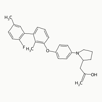 C=C(O)CC1CCCN1c1ccc(Oc2cccc(-c3cc(C)ccc3F)c2C)cc1